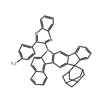 FC(F)(F)c1ccc(-c2nc3ccccc3nc2-n2c3cc4c(cc3c3c5ccccc5ccc32)C2(c3ccccc3-4)C3CC4CC(C3)CC2C4)cc1